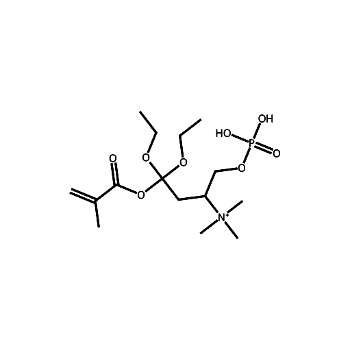 C=C(C)C(=O)OC(CC(COP(=O)(O)O)[N+](C)(C)C)(OCC)OCC